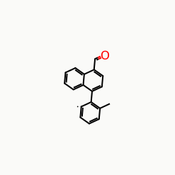 Cc1ccc[c]c1-c1ccc(C=O)c2ccccc12